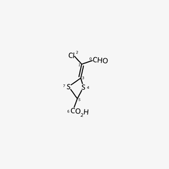 O=CC(Cl)=C1SC(C(=O)O)S1